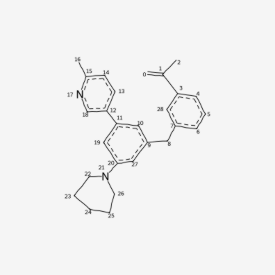 C=C(C)c1cccc(Cc2cc(-c3ccc(C)nc3)cc(N3CCCCC3)c2)c1